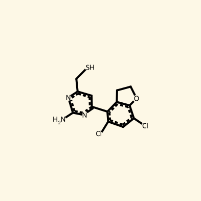 Nc1nc(CS)cc(-c2c(Cl)cc(Cl)c3c2CCO3)n1